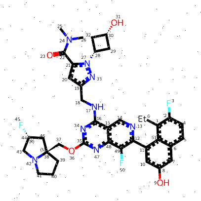 CCc1c(F)ccc2cc(O)cc(-c3ncc4c(NCc5cc(C(=O)N(C)C)n([C@H]6C[C@@H](O)C6)n5)nc(OC[C@@]56CCCN5C[C@H](F)C6)nc4c3F)c12